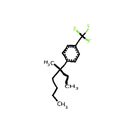 CCCCC(C)(CC)c1ccc(C(F)(F)F)cc1